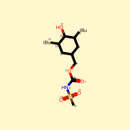 CC(C)(C)C1CC(COC(=O)NS(C)(=O)=O)CC(C(C)(C)C)C1O